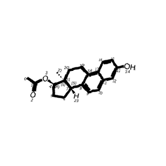 CC(=O)O[C@@H]1CC[C@H]2c3ccc4cc(O)ccc4c3CC[C@]12C